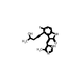 Cc1nc[nH]c1C=C1C(=O)Nc2ccc(F)c(C#CCC(C)O)c21